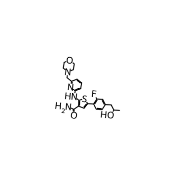 CC(O)Cc1ccc(-c2cc(C(N)=O)c(Nc3cccc(CN4CCOCC4)n3)s2)c(F)c1